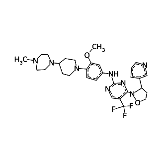 COc1cc(Nc2ncc(C(F)(F)F)c(N3OCCC3c3cccnc3)n2)ccc1N1CCC(N2CCN(C)CC2)CC1